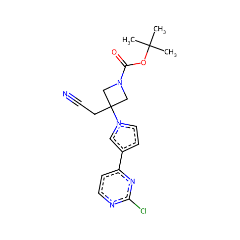 CC(C)(C)OC(=O)N1CC(CC#N)(n2ccc(-c3ccnc(Cl)n3)c2)C1